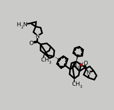 C[C@]12CC3CC(C(=O)N4CCC5(CC5N)C4)(C1)C[C@@](c1ccc(C45CC6(C(=O)N7C8CCC7CC(N)C8)C[C@](C)(C4)C[C@@](c4ccccc4)(C6)C5)cc1)(C3)C2